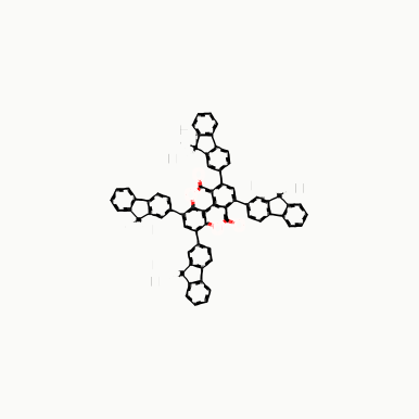 CC1(C)c2ccccc2-c2ccc(-c3cc(-c4ccc5c(c4)C(C)(C)c4ccccc4-5)c4oc(=O)c5c(-c6ccc7c(c6)C(C)(C)c6ccccc6-7)cc(-c6ccc7c(c6)C(C)(C)c6ccccc6-7)c6c(=O)oc3c4c65)cc21